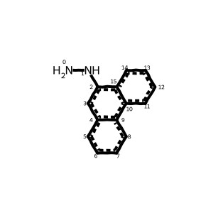 NNc1cc2ccccc2c2ccccc12